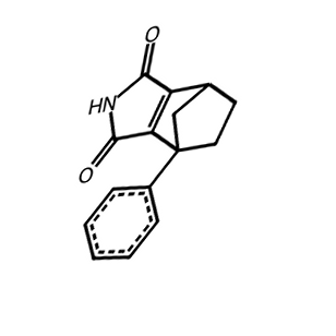 O=C1NC(=O)C2=C1C1CCC2(c2ccccc2)C1